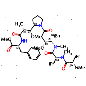 CC[C@H](C)[C@@H]([C@@H](CC(=O)N1CCC[C@H]1[C@H](OC)[C@@H](C)C(=O)N[C@@H](Cc1ccccc1)C(=O)OC)OC)N(C)C(=O)[C@H](C(C)C)N(C)C(=O)[C@@H](NC)C(C)C